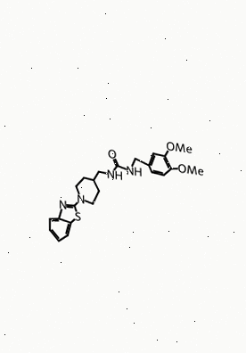 COc1ccc(CNC(=O)NCC2CCN(c3nc4ccccc4s3)CC2)cc1OC